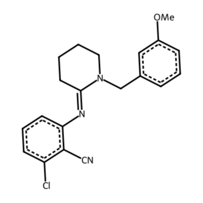 COc1cccc(CN2CCCCC2=Nc2cccc(Cl)c2C#N)c1